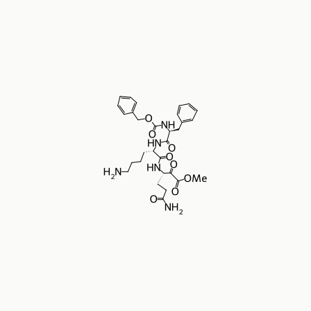 COC(=O)C(=O)[C@H](CCC(N)=O)NC(=O)[C@H](CCCCN)NC(=O)[C@H](Cc1ccccc1)NC(=O)OCc1ccccc1